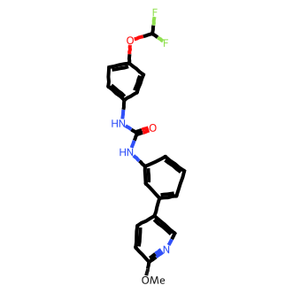 COc1ccc(-c2cccc(NC(=O)Nc3ccc(OC(F)F)cc3)c2)cn1